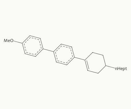 CCCCCCCC1CC=C(c2ccc(-c3ccc(OC)cc3)cc2)CC1